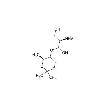 CC(=O)N[C@H](CO)C(O)OC1COC(C)(C)O[C@H]1C